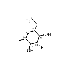 C[C@H]1O[C@H](CN)[C@@H](O)[C@H](F)[C@H]1O